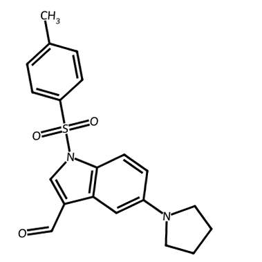 Cc1ccc(S(=O)(=O)n2cc(C=O)c3cc(N4CCCC4)ccc32)cc1